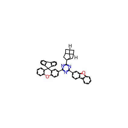 c1ccc2c(c1)Oc1ccc(-c3nc(-c4ccc5c(c4)oc4ccccc45)nc(C45CC6C[C@@H]7C[C@@H](C4)C67C5)n3)cc1C21c2ccccc2-c2ccccc21